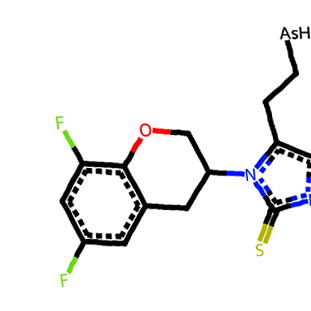 Fc1cc(F)c2c(c1)CC(n1c(CC[AsH2])c[nH]c1=S)CO2